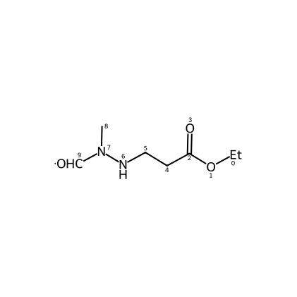 CCOC(=O)CCNN(C)[C]=O